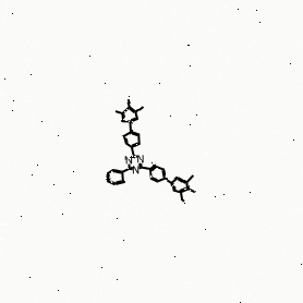 Cc1cc(-c2ccc(-c3nc(-c4ccccc4)nc(-c4ccc(-c5cc(C)c(C)c(C)c5)cc4)n3)cc2)cc(C)c1C